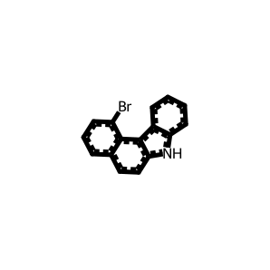 Brc1cccc2ccc3[nH]c4ccccc4c3c12